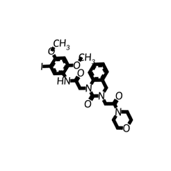 COc1cc(OC)c(NC(=O)CN2C(=O)N(CC(=O)N3CCOCC3)Cc3ccccc32)cc1I